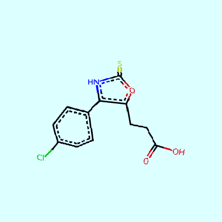 O=C(O)CCc1oc(=S)[nH]c1-c1ccc(Cl)cc1